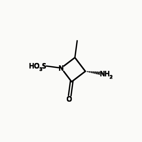 CC1[C@H](N)C(=O)N1S(=O)(=O)O